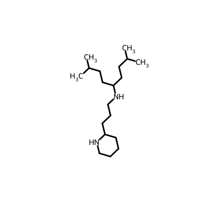 CC(C)CCC(CCC(C)C)NCCCC1CCCCN1